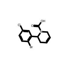 O=C(O)N1CC=CCC1c1cc(Cl)ccc1Br